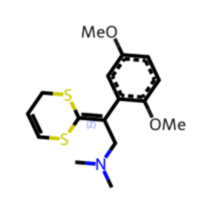 COc1ccc(OC)c(/C(CN(C)C)=C2/SC=CCS2)c1